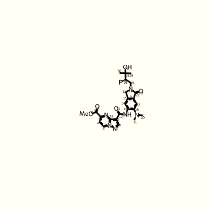 COC(=O)c1ccn2ncc(C(=O)Nc3cc4c(cc3N(C)C)C(=O)N(C[C@@H](F)C(C)(C)O)C4)c2n1